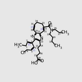 CC/C=C(\C=C/CCl)c1nc2c(nc1CCCCC(=O)O)/C=C(/C(=O)N(CCC)CCCC)CC/C=C\2